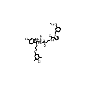 COc1cccc(Cn2cccc2C(=O)NCCS(=O)(=O)NC(O)c2[nH]c3cc(Cl)ccc3c2CCCOc2cc(C)c(Cl)c(C)c2)c1